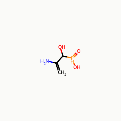 C=C(N)C(O)[PH](=O)O